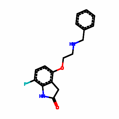 O=C1Cc2c(OCCNCc3ccccc3)ccc(F)c2N1